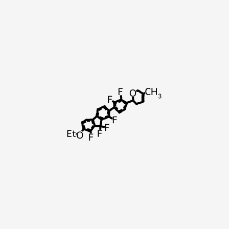 CCOc1ccc2c(c1F)C(F)(F)c1c-2ccc(-c2ccc(C3CC=C(C)CO3)c(F)c2F)c1F